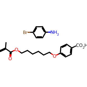 C=C(C)C(=O)OCCCCCCOc1ccc(C(=O)O)cc1.Nc1ccc(Br)cc1